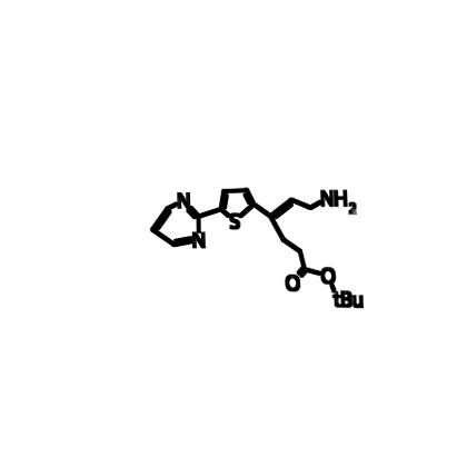 CC(C)(C)OC(=O)CC/C(=C\CN)c1ccc(-c2ncccn2)s1